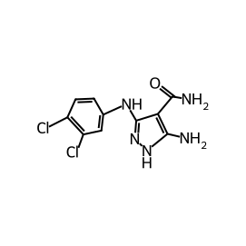 NC(=O)c1c(Nc2ccc(Cl)c(Cl)c2)n[nH]c1N